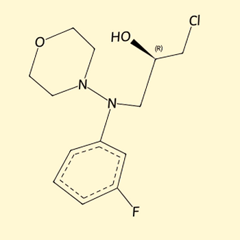 O[C@@H](CCl)CN(c1cccc(F)c1)N1CCOCC1